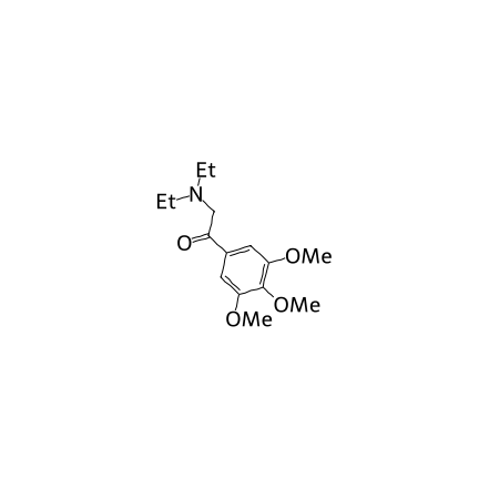 CCN(CC)CC(=O)c1cc(OC)c(OC)c(OC)c1